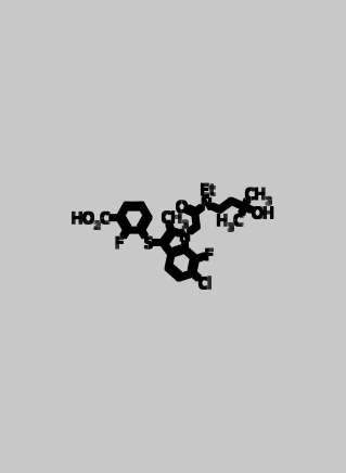 CCN(CCC(C)(C)O)C(=O)Cn1c(C)c(Sc2cccc(C(=O)O)c2F)c2ccc(Cl)c(F)c21